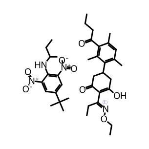 CCC(C)Nc1c([N+](=O)[O-])cc(C(C)(C)C)cc1[N+](=O)[O-].CCCC(=O)c1c(C)cc(C)c(C2CC(=O)C(/C(CC)=N/OCC)=C(O)C2)c1C